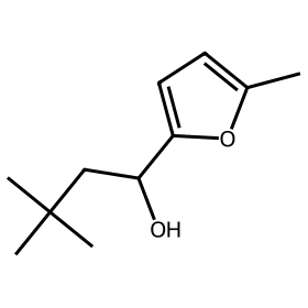 Cc1ccc(C(O)CC(C)(C)C)o1